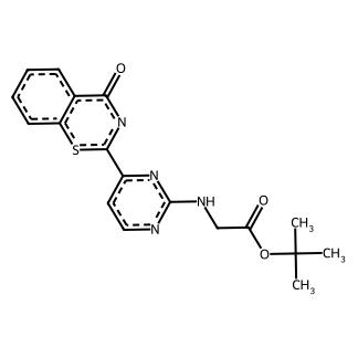 CC(C)(C)OC(=O)CNc1nccc(-c2nc(=O)c3ccccc3s2)n1